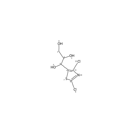 OCC(O)C(O)c1sc(Cl)nc1Cl